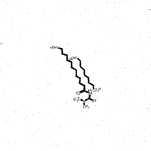 CCCCCCCCCCCCCCCCCC(=O)O.CCCCCCCCCCCCCCCCCCCCCC(=O)NC(CC)N(C)C